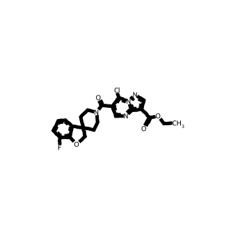 CCOC(=O)c1cnn2c(Cl)c(C(=O)N3CCC4(CC3)COc3c(F)cccc34)cnc12